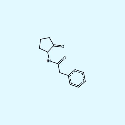 O=C(Cc1ccccc1)NC1CCCC1=O